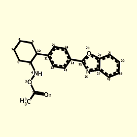 CC(=O)ONC1CCCCC1c1ccc(-c2nc3ccccc3o2)cc1